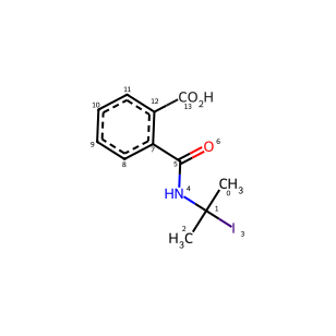 CC(C)(I)NC(=O)c1ccccc1C(=O)O